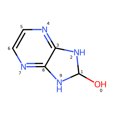 OC1Nc2nccnc2N1